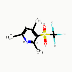 Cc1cc(C)c(S(=O)(=O)C(F)(F)F)c(C)n1